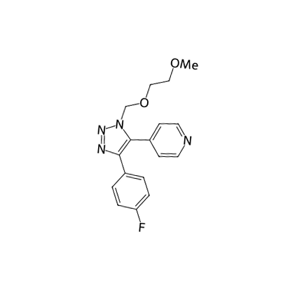 COCCOCn1nnc(-c2ccc(F)cc2)c1-c1ccncc1